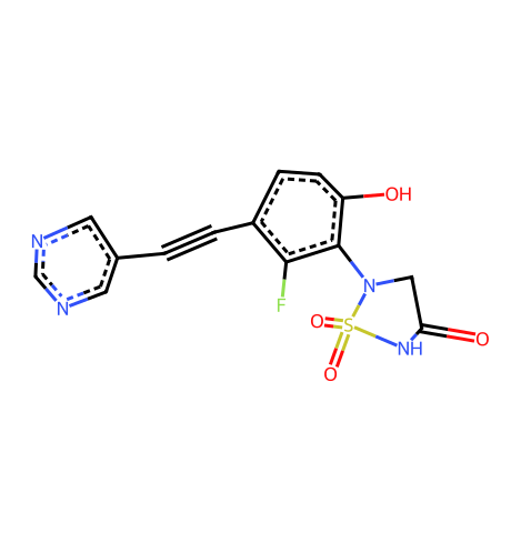 O=C1CN(c2c(O)ccc(C#Cc3cncnc3)c2F)S(=O)(=O)N1